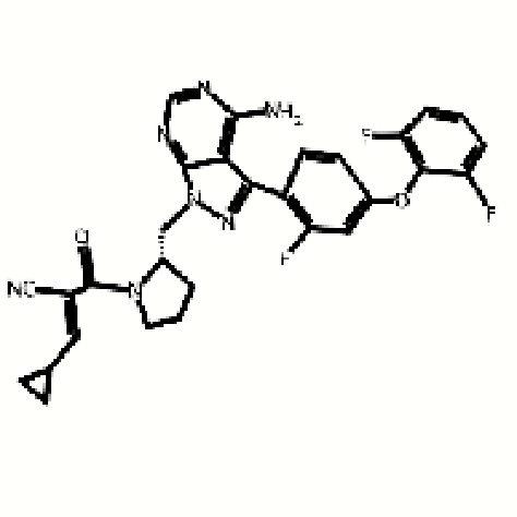 N#C/C(=C\C1CC1)C(=O)N1CCC[C@H]1Cn1nc(-c2ccc(Oc3c(F)cccc3F)cc2F)c2c(N)ncnc21